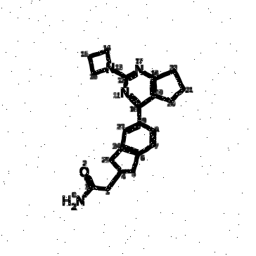 NC(=O)CC1Cc2ccc(-c3nc(N4CCC4)nc4c3CCC4)cc2C1